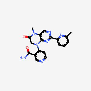 Cc1cccc(-c2ncc3c(n2)N(c2ccncc2C(N)=O)CC(=O)N3C)n1